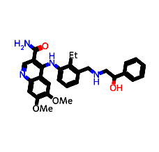 CCc1c(CNCC(O)c2ccccc2)cccc1Nc1c(C(N)=O)cnc2cc(OC)c(OC)cc12